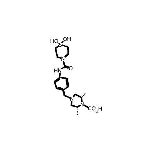 C[C@@H]1CN(Cc2ccc(NC(=O)N3CCS(O)(O)CC3)cc2)C[C@H](C)N1C(=O)O